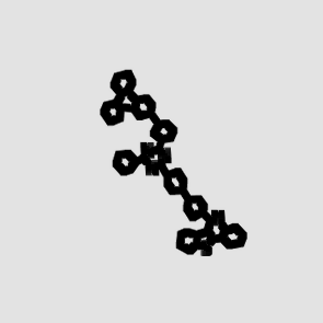 c1ccc(-c2nc(-c3ccc(-c4ccc(-c5nc6ccccc6c6sc7ccccc7c56)cc4)cc3)nc(-c3cccc(-c4ccc5c6ccccc6c6ccccc6c5c4)c3)n2)cc1